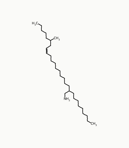 CCCCCCCCCC(CN)CCCCCCCCC/C=C\CC(C)CCCCC